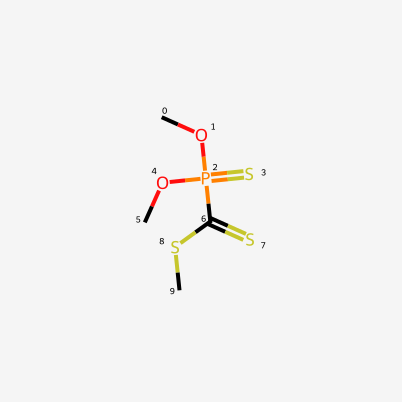 COP(=S)(OC)C(=S)SC